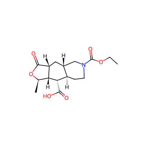 CCOC(=O)N1CC[C@@H]2[C@H](C[C@H]3C(=O)O[C@H](C)[C@H]3[C@H]2C(=O)O)C1